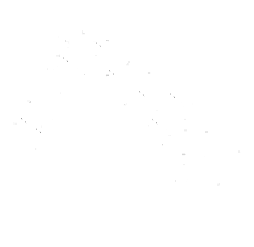 Cn1cc(-c2cc3c(N4CCN(c5ncc(Cc6c(F)cc(F)cc6F)cn5)CC4)ncnn3c2)cn1